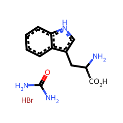 Br.NC(Cc1c[nH]c2ccccc12)C(=O)O.NC(N)=O